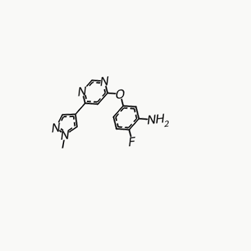 Cn1cc(-c2cc(Oc3ccc(F)c(N)c3)ncn2)cn1